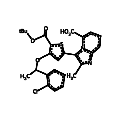 Cc1nc2cccc(C(=O)O)n2c1-c1cc(OC(C)c2ccccc2Cl)c(C(=O)OC(C)(C)C)s1